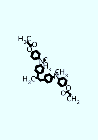 C=CC(=O)Oc1ccc(N(C)c2ccc(CC(C)c3ccc(N(C)c4ccc(OC(=O)C=C)cc4)cc3)cc2)cc1